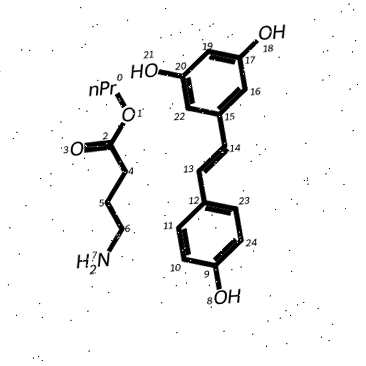 CCCOC(=O)CCCN.Oc1ccc(C=Cc2cc(O)cc(O)c2)cc1